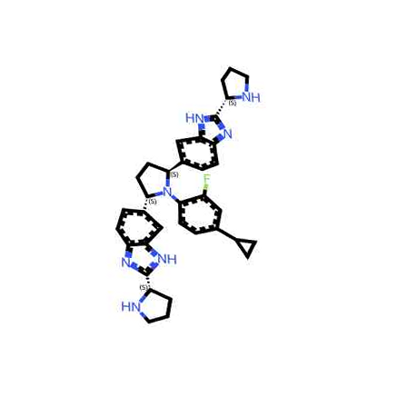 Fc1cc(C2CC2)ccc1N1[C@H](c2ccc3nc([C@@H]4CCCN4)[nH]c3c2)CC[C@H]1c1ccc2nc([C@@H]3CCCN3)[nH]c2c1